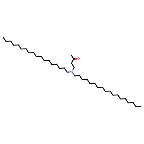 CCCCCCCCCCCCCCCCCCN(CCCCCCCCCCCCCCCCCC)CCC(C)=O